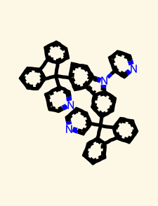 c1cncc(-n2c3ccc(C4(c5cccnc5)c5ccccc5-c5ccccc54)cc3c3cc(C4(c5cccnc5)c5ccccc5-c5ccccc54)ccc32)c1